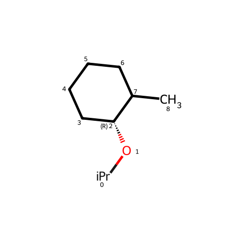 CC(C)O[C@@H]1CCCCC1C